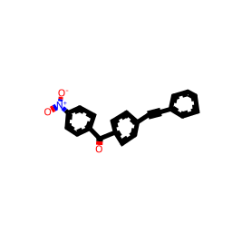 O=C(c1ccc(C#Cc2ccccc2)cc1)c1ccc([N+](=O)[O-])cc1